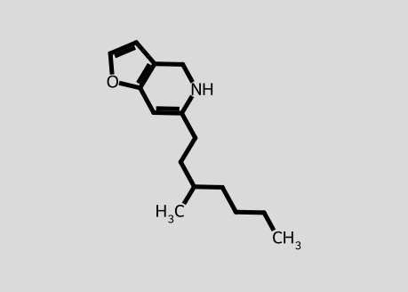 CCCCC(C)CCC1=Cc2occc2CN1